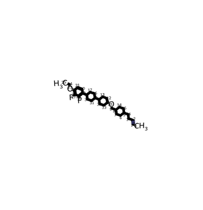 C/C=C/CCC1CCC(COC2CCC(C3CCC(c4ccc(OCC)c(F)c4F)CC3)CC2)CC1